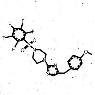 COc1ccc(Cc2csc(N3CCN(S(=O)(=O)c4c(F)c(F)c(F)c(F)c4F)CC3)n2)cc1